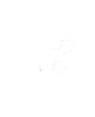 CCOC(=O)Oc1[nH]nc(-c2c(Cl)cccc2Cl)c1Br